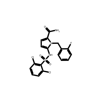 NC(=O)c1ccc(NS(=O)(=O)c2c(Cl)cccc2Cl)n1Cc1ccccc1F